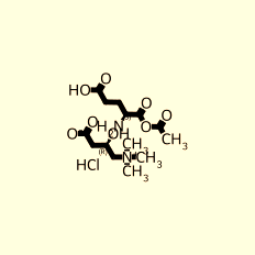 CC(=O)OC(=O)[C@@H](N)CCC(=O)O.C[N+](C)(C)C[C@H](O)CC(=O)[O-].Cl